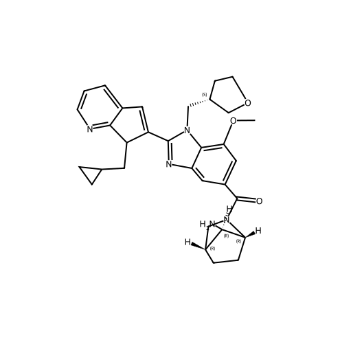 COc1cc(C(=O)N2C[C@H]3CC[C@@H]2[C@@H]3N)cc2nc(C3=Cc4cccnc4C3CC3CC3)n(C[C@@H]3CCOC3)c12